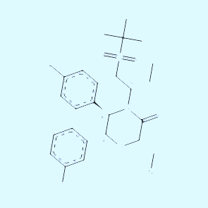 CC[C@@H](CS(=O)(=O)C(C)(C)C)N1C(=O)[C@H](CN)O[C@H](c2cccc(Cl)c2)[C@H]1c1ccc(Cl)cc1